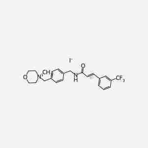 C[N+]1(Cc2ccc(CNC(=O)/C=C/c3cccc(C(F)(F)F)c3)cc2)CCOCC1.[I-]